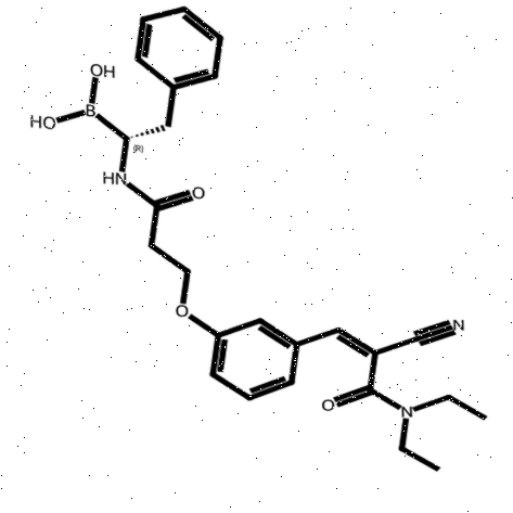 CCN(CC)C(=O)C(C#N)=Cc1cccc(OCCC(=O)N[C@@H](Cc2ccccc2)B(O)O)c1